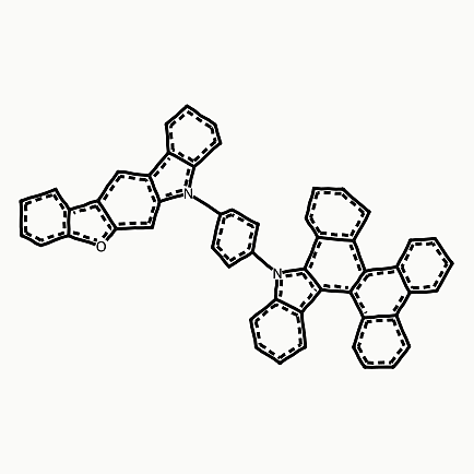 c1ccc2c(c1)oc1cc3c(cc12)c1ccccc1n3-c1ccc(-n2c3ccccc3c3c4c5ccccc5c5ccccc5c4c4ccccc4c32)cc1